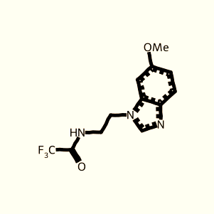 COc1ccc2ncn(CCNC(=O)C(F)(F)F)c2c1